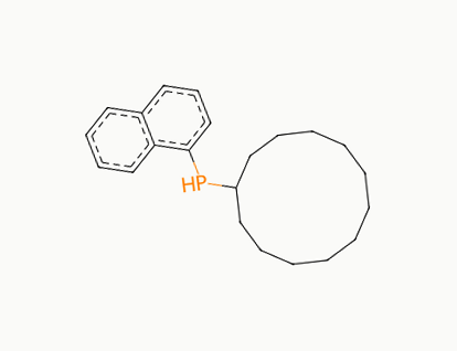 c1ccc2c(PC3CCCCCCCCCCC3)cccc2c1